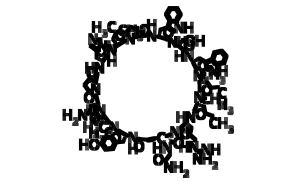 CCCC[C@H]1C(=O)N(C)[C@@H](CCCC)C(=O)N[C@@H](CCCNC(=N)N)C(=O)N[C@H](C(=O)NCC(N)=O)C/C=C/C(=O)N[C@@H](Cc2ccc(O)cc2)C(=O)N(C)[C@@H](C)C(=O)N[C@@H](CC(N)=O)C(=O)N2CCC[C@H]2C(=O)N[C@@H](Cc2cnc[nH]2)C(=O)N[C@@H](CC(C)C)C(=O)N2CCC[C@H]2C(=O)N[C@@H](Cc2c[nH]c3ccccc23)C(=O)N[C@@H](CO)C(=O)N[C@@H](Cc2c[nH]c3ccccc23)C(=O)N1C